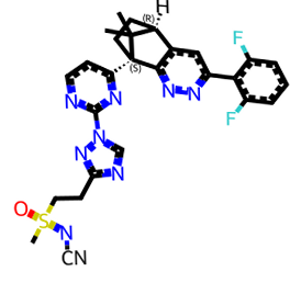 CC1(C)[C@H]2CC[C@]1(c1ccnc(-n3cnc(CCS(C)(=O)=NC#N)n3)n1)c1nnc(-c3c(F)cccc3F)cc12